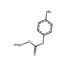 CCCCCCCOC(=O)Oc1ccc(CCCC)cc1